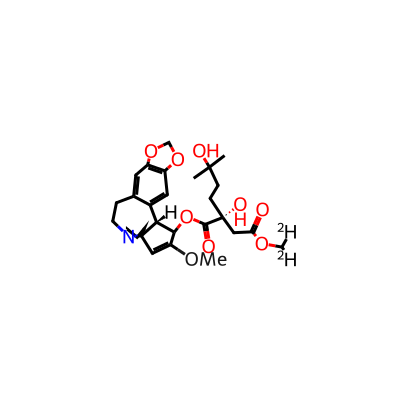 [2H]C([2H])OC(=O)C[C@](O)(CCC(C)(C)O)C(=O)OC1C(OC)=CC23CCCN2CCc2cc4c(cc2[C@H]13)OCO4